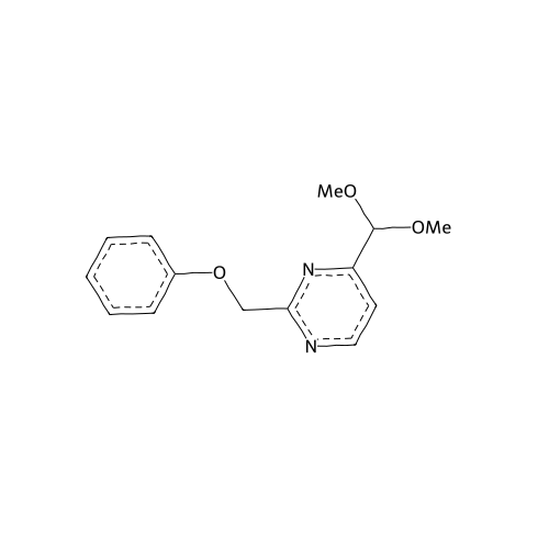 COC(OC)c1ccnc(COc2ccccc2)n1